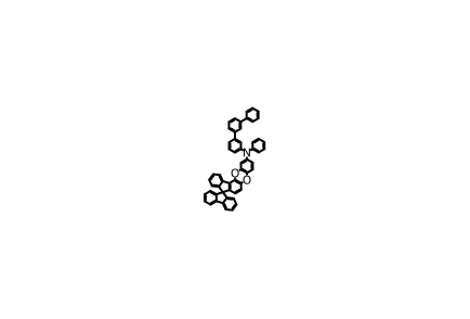 c1ccc(-c2cccc(-c3cccc(N(c4ccccc4)c4ccc5c(c4)Oc4c(ccc6c4-c4ccccc4C64c6ccccc6-c6ccccc64)O5)c3)c2)cc1